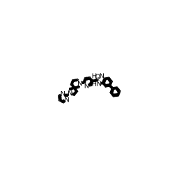 Nc1ccc(-c2ccccc2)cc1NC(=O)c1ccc(N2CCCC3(CCN(c4ncccn4)C3)C2)nc1